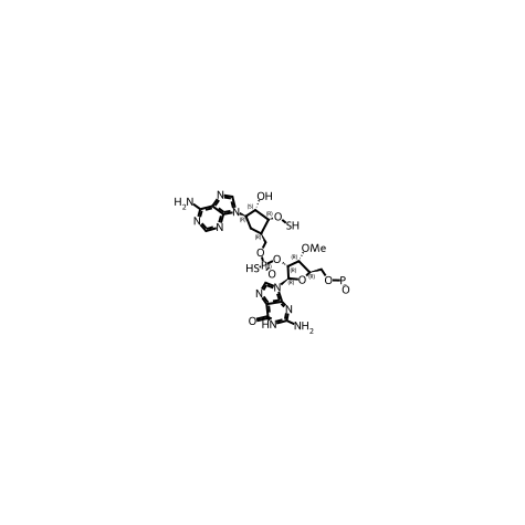 CO[C@H]1[C@@H](O[P@](=O)(S)OC[C@H]2C[C@@H](n3cnc4c(N)ncnc43)[C@H](O)[C@@H]2OS)[C@H](n2cnc3c(=O)[nH]c(N)nc32)O[C@@H]1COP=O